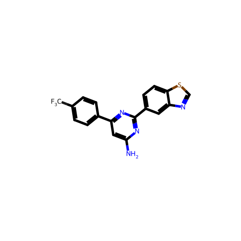 Nc1cc(-c2ccc(C(F)(F)F)cc2)nc(-c2ccc3scnc3c2)n1